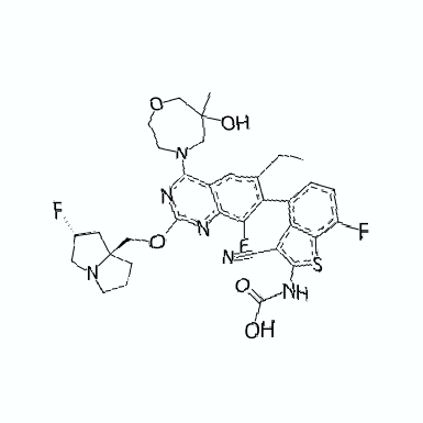 CCc1cc2c(N3CCOCC(C)(O)C3)nc(OC[C@@]34CCCN3C[C@H](F)C4)nc2c(F)c1-c1ccc(F)c2sc(NC(=O)O)c(C#N)c12